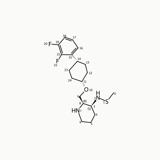 CSN[C@H]1CCCN[C@H]1CO[C@H]1CC[C@@H](c2cccc(F)c2F)CC1